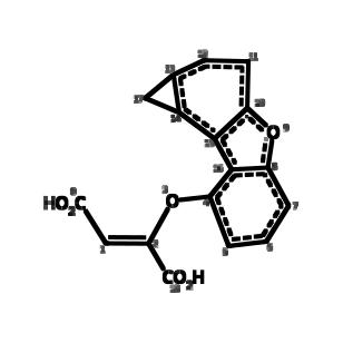 O=C(O)/C=C(\Oc1cccc2oc3ccc4c(c3c12)C4)C(=O)O